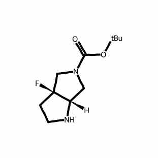 CC(C)(C)OC(=O)N1C[C@@H]2NCC[C@]2(F)C1